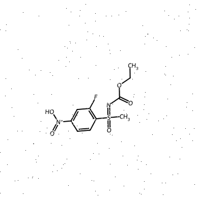 CCOC(=O)N=S(C)(=O)c1ccc([N+](=O)O)cc1F